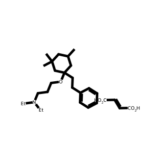 CCN(CC)CCCOC1(CCc2ccccc2)CC(C)CC(C)(C)C1.O=C(O)C=CC(=O)O